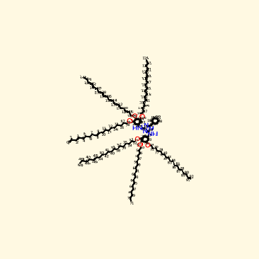 CCCCCCCCCCCCCCCCCCCOc1cc(Nc2nc(Nc3cc(OCCCCCCCCCCCCCCCCCCC)c(OCCCCCCCCCCCCCCCCCCC)c(OCCCCCCCCCCCCCCCCCCC)c3)nc(-c3cc[c]cc3)n2)cc(OCCCCCCCCCCCCCCCCCCC)c1OCCCCCCCCCCCCCCCCCCC